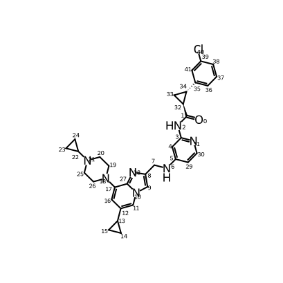 O=C(Nc1cc(NCc2cn3cc(C4CC4)cc(N4CCN(C5CC5)CC4)c3n2)ccn1)[C@H]1C[C@@H]1c1cccc(Cl)c1